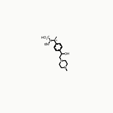 C[C@@H](c1ccc(C(O)CN2CCN(C)CC2)cc1)N(C(=O)O)C(C)(C)C